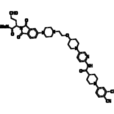 CNC(=O)C(CCC=O)N1C(=O)c2ccc(N3CCN(CCOC4CCN(c5ccc(NC(=O)C6CCN(c7ccc(C#N)c(Cl)c7)CC6)nc5)CC4)CC3)cc2C1=O